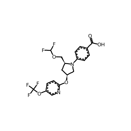 O=C(O)c1ccc(N2C[C@@H](Oc3ccc(OC(F)(F)F)cn3)C[C@H]2COC(F)F)cc1